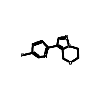 Fc1ccc(-c2cnn3c2COCC3)nc1